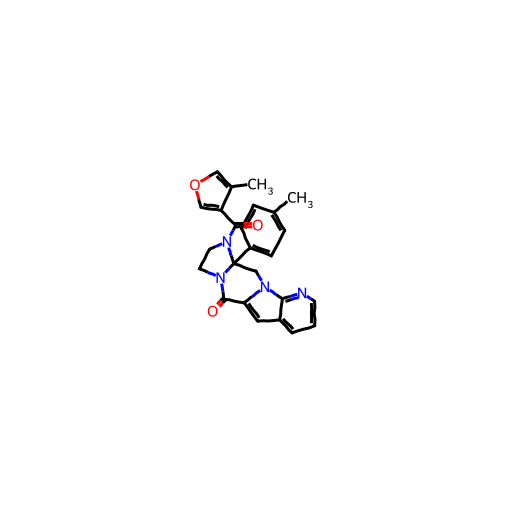 Cc1ccc(C23Cn4c(cc5cccnc54)C(=O)N2CCN3C(=O)c2cocc2C)cc1